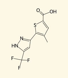 Cc1cc(C(=O)O)sc1-c1cc(C(F)(F)F)[nH]n1